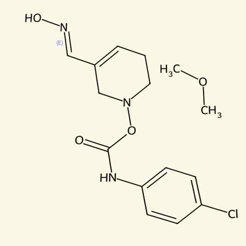 COC.O=C(Nc1ccc(Cl)cc1)ON1CCC=C(/C=N/O)C1